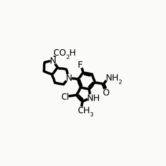 Cc1[nH]c2c(C(N)=O)cc(F)c(N3CCC4CCN(C(=O)O)C4C3)c2c1Cl